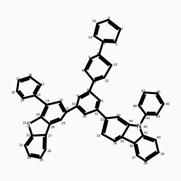 c1ccc(-c2ccc(-c3cc(-c4cc(-c5ccccc5)c5sc6ccccc6c5c4)cc(-c4ccc5c6ccccc6n(-c6ccccc6)c5c4)c3)cc2)cc1